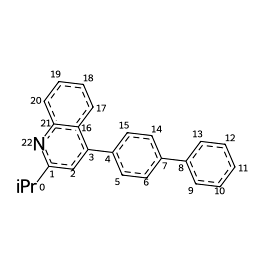 CC(C)c1cc(-c2ccc(-c3ccccc3)cc2)c2ccccc2n1